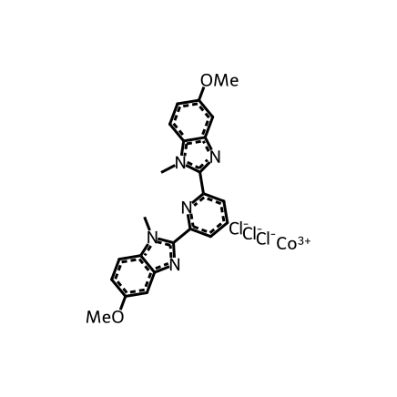 COc1ccc2c(c1)nc(-c1cccc(-c3nc4cc(OC)ccc4n3C)n1)n2C.[Cl-].[Cl-].[Cl-].[Co+3]